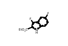 CCOC(=O)c1[nH]c2ccc(F)cc2c1F